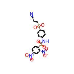 N#CC=CS(=O)(=O)c1ccc(NS(=O)(=O)c2ccc([N+](=O)[O-])cc2[N+](=O)[O-])cc1